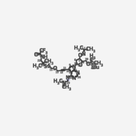 CC(C)=NOC1C[C@H](n2cc(C#CCOCSSC(C)(C)CNC(=O)C(F)(F)F)c3c(/N=C/N(C)C)ncnc32)O[C@@H]1CO[Si](C)(C)C(C)(C)C